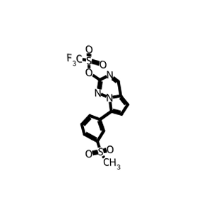 CS(=O)(=O)c1cccc(-c2ccc3cnc(OS(=O)(=O)C(F)(F)F)nn23)c1